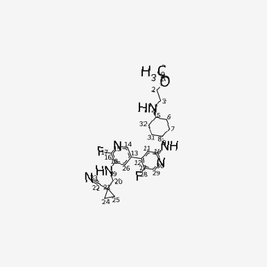 COCCN[C@H]1CC[C@H](Nc2cc(-c3cnc(F)c(NCC4(C#N)CC4)c3)c(F)cn2)CC1